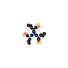 CC1(C)c2ccccc2-c2ccc(C(c3ccc(N(c4ccc(N(c5ccc(P(=O)=S(=S)=S)cc5)c5ccc6c(c5)C(C)(C)c5ccccc5-6)cc4)c4ccc(N(c5ccc(P(=O)=S(=S)=S)cc5)c5ccc6c(c5)C(C)(C)c5ccccc5-6)cc4)cc3)c3ccc(P(=O)=S(=S)=S)cc3)cc21